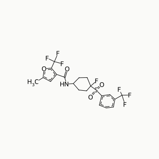 Cc1cc(C(=O)NC2CCC(F)(S(=O)(=O)c3cccc(C(F)(F)F)c3)CC2)c(C(F)(F)F)o1